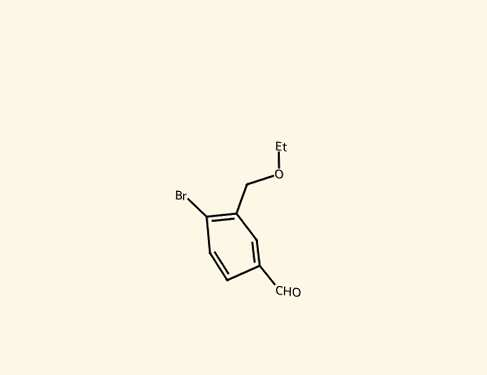 CCOCc1cc(C=O)ccc1Br